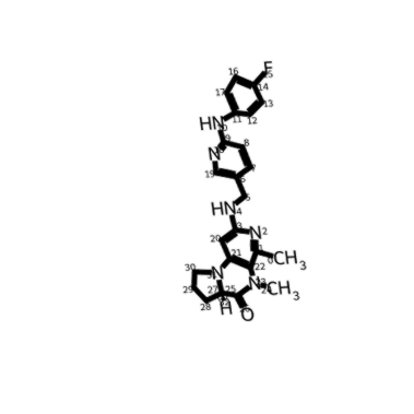 Cc1nc(NCc2ccc(Nc3ccc(F)cc3)nc2)cc2c1N(C)C(=O)[C@@H]1CCCN21